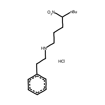 CCCCC(CCCNCCc1ccccc1)[N+](=O)[O-].Cl